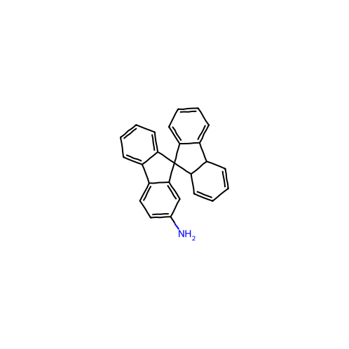 Nc1ccc2c(c1)C1(c3ccccc3-2)c2ccccc2C2C=CC=CC21